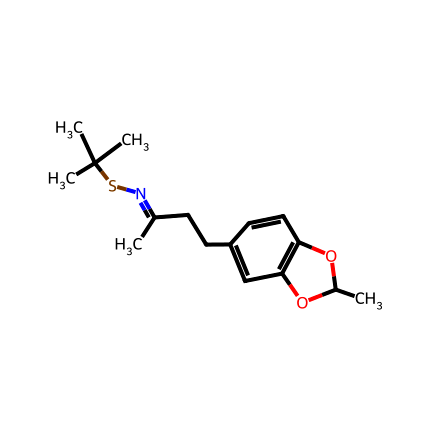 C/C(CCc1ccc2c(c1)OC(C)O2)=N\SC(C)(C)C